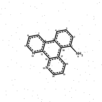 Nc1cccc2c3cccnc3c3ncccc3c12